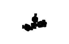 CS(=O)(=O)c1ccc(-c2nc(Sc3ccc(F)cc3)sc2-c2ccc(F)cc2)cc1